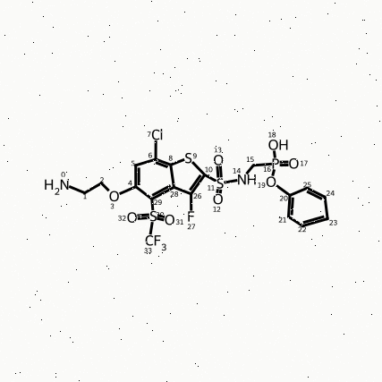 NCCOc1cc(Cl)c2sc(S(=O)(=O)NCP(=O)(O)Oc3ccccc3)c(F)c2c1S(=O)(=O)C(F)(F)F